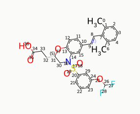 Cc1cccc(C)c1/C=C/c1ccc2c(c1)N(S(=O)(=O)c1cccc(OC(F)F)c1)C[C@H](CCC(=O)O)O2